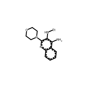 CCNc1c(N2CCOCC2)nc2ccccc2c1N